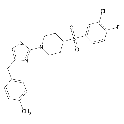 Cc1ccc(Cc2csc(N3CCC(S(=O)(=O)c4ccc(F)c(Cl)c4)CC3)n2)cc1